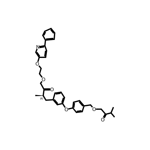 CC(C)C(=O)COCc1ccc(Oc2cccc(C[C@@H](C)C(=O)COCCOc3ccc(-c4ccccc4)nc3)c2)cc1